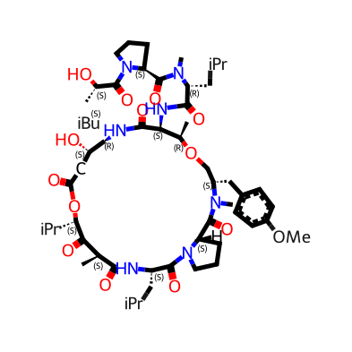 CC[C@H](C)[C@H]1NC(=O)[C@@H](NC(=O)[C@@H](CC(C)C)N(C)C(=O)[C@@H]2CCCN2C(=O)[C@H](C)O)[C@@H](C)OC[C@H](Cc2ccc(OC)cc2)N(C)C(=O)[C@@H]2CCCN2C(=O)[C@H](CC(C)C)NC(=O)[C@@H](C)C(=O)[C@H](C(C)C)OC(=O)C[C@@H]1O